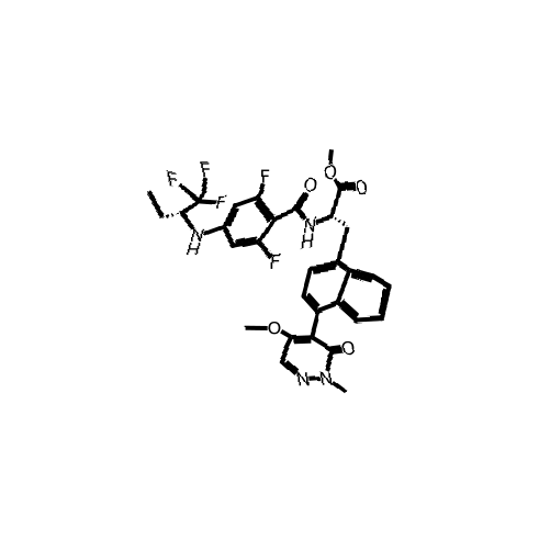 CC[C@@H](Nc1cc(F)c(C(=O)N[C@@H](Cc2ccc(-c3c(OC)cnn(C)c3=O)c3ccccc23)C(=O)OC)c(F)c1)C(F)(F)F